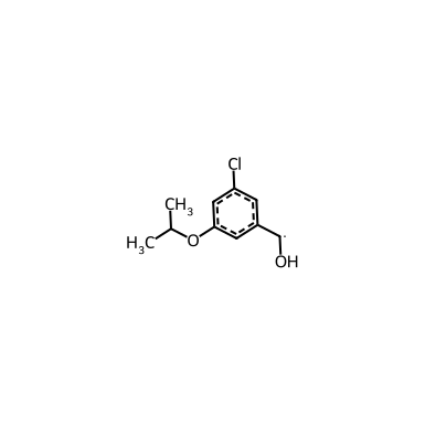 CC(C)Oc1cc(Cl)cc([CH]O)c1